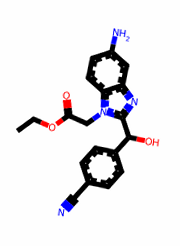 CCOC(=O)Cn1c(C(O)c2ccc(C#N)cc2)nc2cc(N)ccc21